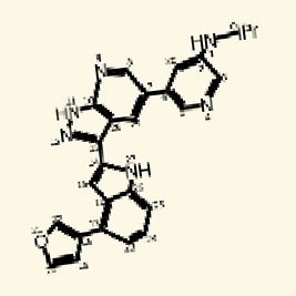 CC(C)Nc1cncc(-c2cnc3[nH]nc(-c4cc5c(-c6ccoc6)cccc5[nH]4)c3c2)c1